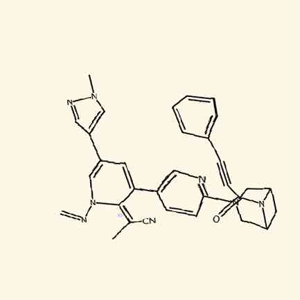 C=NN1C=C(c2cnn(C)c2)C=C(c2ccc(N3CC4CC(C3)N4C(=O)C#Cc3ccccc3)nc2)/C1=C(/C)C#N